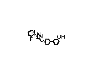 Oc1cccc(C2CCN(Cc3cn(-c4ncccc4F)nn3)CC2)c1